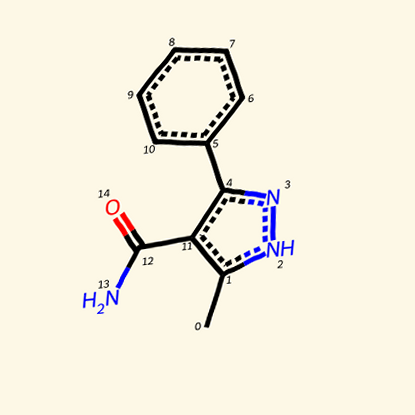 Cc1[nH]nc(-c2ccccc2)c1C(N)=O